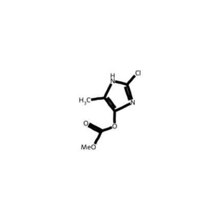 COC(=O)Oc1nc(Cl)[nH]c1C